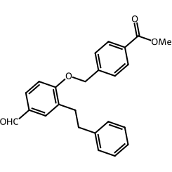 COC(=O)c1ccc(COc2ccc(C=O)cc2CCc2ccccc2)cc1